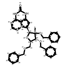 C[C@@]1(OCc2ccccc2)[C@H](OCc2ccccc2)[C@@H](COCc2ccccc2)O[C@H]1c1cc2c3c(ncnn13)NC(=O)N2